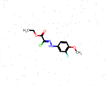 CCOC(=O)C(Cl)=NNc1ccc(OC)c(F)c1